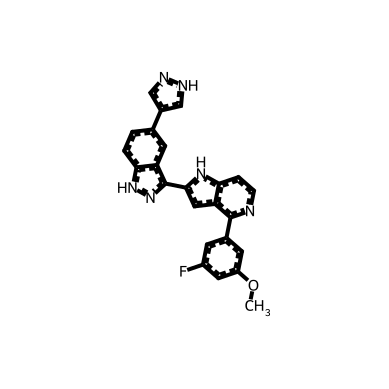 COc1cc(F)cc(-c2nccc3[nH]c(-c4n[nH]c5ccc(-c6cn[nH]c6)cc45)cc23)c1